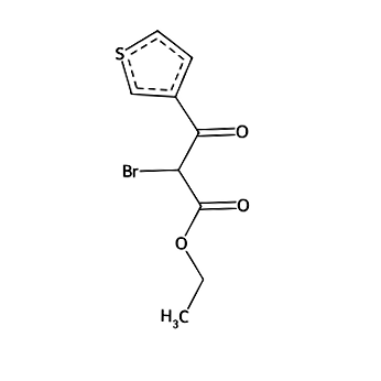 CCOC(=O)C(Br)C(=O)c1ccsc1